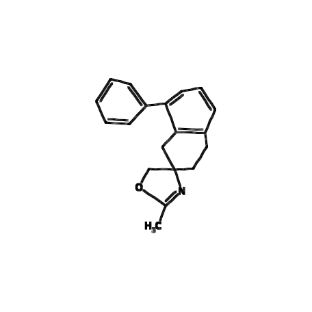 CC1=NC2(CCc3cccc(-c4ccccc4)c3C2)CO1